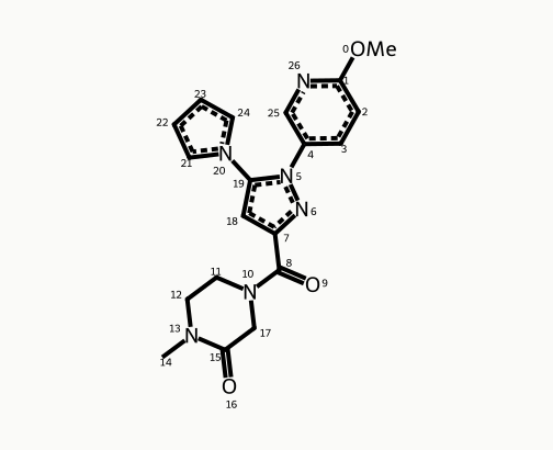 COc1ccc(-n2nc(C(=O)N3CCN(C)C(=O)C3)cc2-n2cccc2)cn1